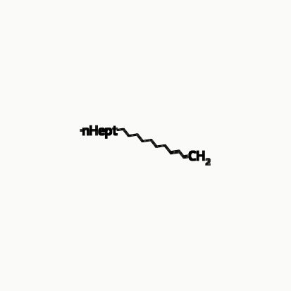 C=CC=CCCCCCCC[CH]CCCCCC